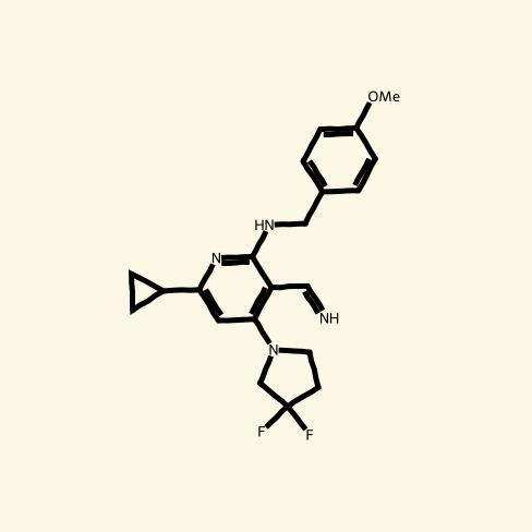 COc1ccc(CNc2nc(C3CC3)cc(N3CCC(F)(F)C3)c2C=N)cc1